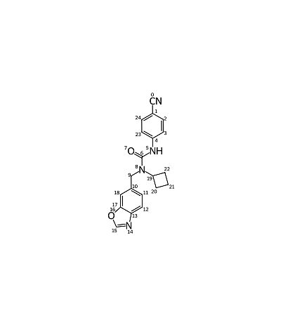 N#Cc1ccc(NC(=O)N(Cc2ccc3ncoc3c2)C2CCC2)cc1